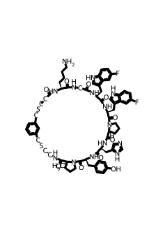 C[C@@]12CCCN1C(=O)[C@H](Cc1ccc(O)cc1)NC(=O)[C@H](Cc1cnc[nH]1)NC(=O)[C@@H]1CCCN1C(=O)[C@H](Cc1c[nH]c3ccc(F)cc13)NC(=O)[C@H](Cc1c[nH]c3ccc(F)cc13)NC(=O)CNC(=O)[C@H](CCCCN)NC(=O)CCSCc1cccc(c1)CSCCNC2=O